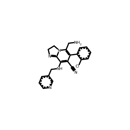 N#CC1=C(NCc2cccnc2)C2=NCCN2C(CN)=C1c1ccccc1Cl